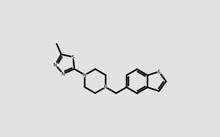 Cc1nnc(N2CCN(Cc3ccc4sccc4c3)CC2)s1